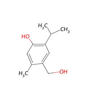 Cc1cc(O)c(C(C)C)cc1CO